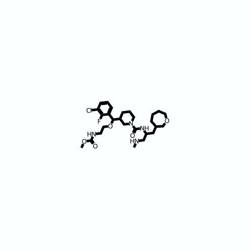 CNCC(CC1CCCCOC1)NC(=O)N1CCCC(C(OCCNC(=O)OC)c2cccc(Cl)c2F)C1